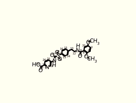 COc1ccc(OC)c(C(=O)NCCc2ccc(S(=O)(=O)C(=O)Nc3ccc(C(=O)O)nc3)cc2)c1